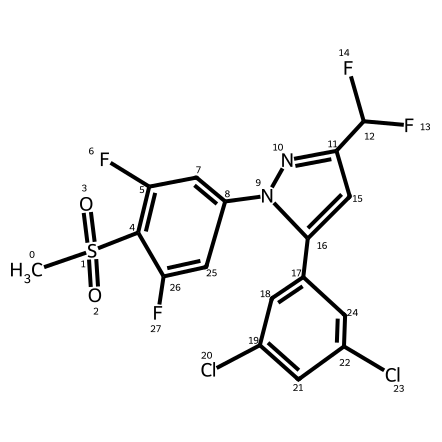 CS(=O)(=O)c1c(F)cc(-n2nc(C(F)F)cc2-c2cc(Cl)cc(Cl)c2)cc1F